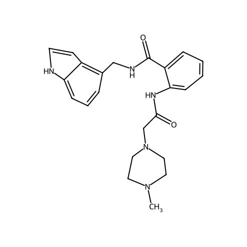 CN1CCN(CC(=O)Nc2ccccc2C(=O)NCc2cccc3[nH]ccc23)CC1